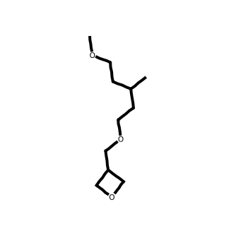 COCCC(C)CCOCC1COC1